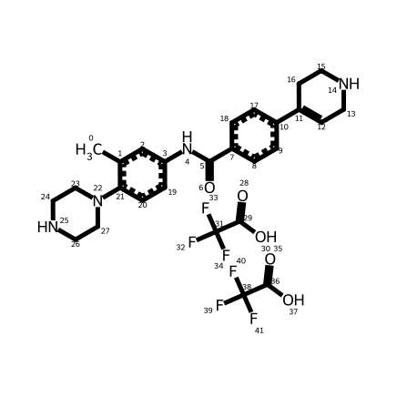 Cc1cc(NC(=O)c2ccc(C3=CCNCC3)cc2)ccc1N1CCNCC1.O=C(O)C(F)(F)F.O=C(O)C(F)(F)F